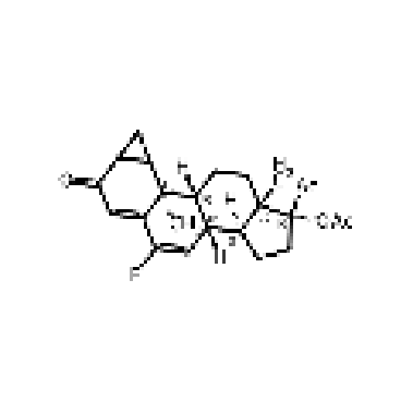 CC(=O)O[C@]1(C(C)=O)CC[C@H]2[C@@H]3C=C(F)C4=CC(=O)C5CC5[C@@]4(C)[C@@H]3CC[C@@]21C